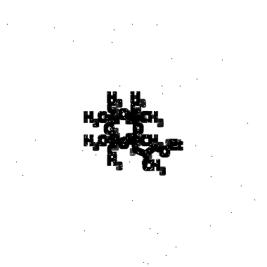 CCOCC(C)C[Si]1(C)O[Si](C)(C)O[Si](C)(C)O[Si](C)(C)O1